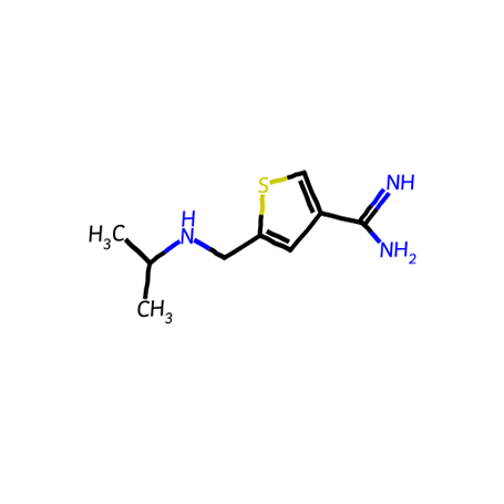 CC(C)NCc1cc(C(=N)N)cs1